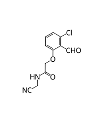 N#CCNC(=O)COc1cccc(Cl)c1C=O